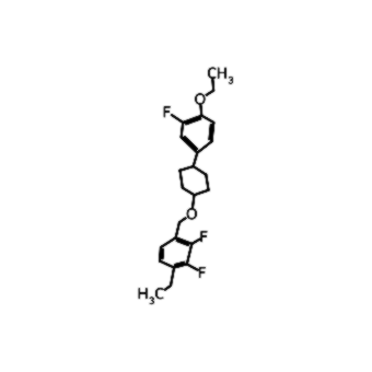 CCOc1ccc(C2CCC(OCc3ccc(CC)c(F)c3F)CC2)cc1F